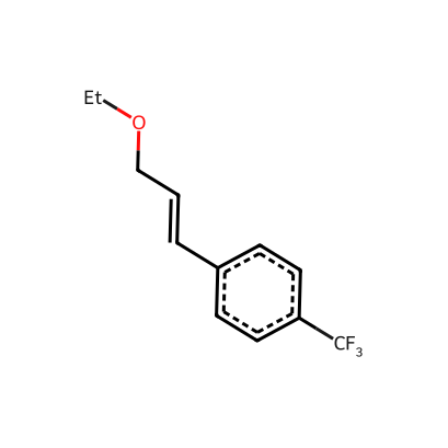 [CH2]COCC=Cc1ccc(C(F)(F)F)cc1